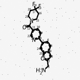 NCc1cc2ccc(-c3ccc(C(=O)N4CCC(F)(F)CC4)cn3)cc2o1